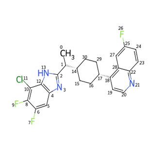 CC(c1nc2cc(F)c(F)c(Cl)c2[nH]1)[C@H]1CC[C@@H](c2ccnc3ccc(F)cc32)CC1